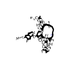 CC[C@@H]1C[C@H](C)CC/C=C/[C@@H]2C[C@@]2(C(=O)NS(=O)(=O)C2(CF)CC2)NC(=O)[C@@H]2C[C@@H](Oc3nccc4cc(OC)c(F)cc34)CN2C(=O)[C@H]1NC(=O)OC(C)(C)C(F)(F)F